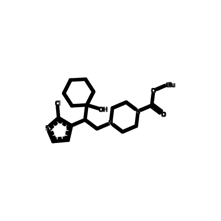 CC(C)(C)OC(=O)N1CCN(CC(c2ccsc2Cl)C2(O)CCCCC2)CC1